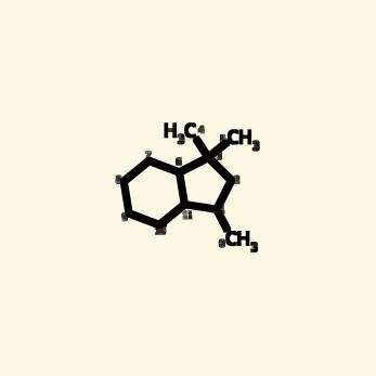 CC1CC(C)(C)C2CCC[CH]C12